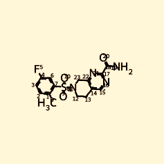 Cc1ccc(F)cc1S(=O)(=O)N1CCc2[c]nc(C(N)=O)nc2C1